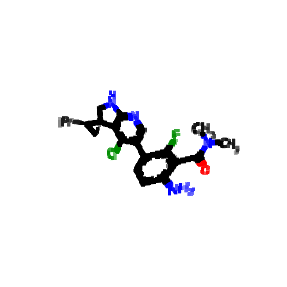 CC(C)[C@@H]1C[C@@]12CNc1ncc(-c3ccc(N)c(C(=O)N(C)C)c3F)c(Cl)c12